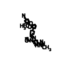 Cc1nnc(-c2cc3nc(CN4CCC(c5cccc6c5OC(C)(c5ccc(C#N)cc5F)O6)CC4)n(CC4CCO4)c3cn2)[nH]1